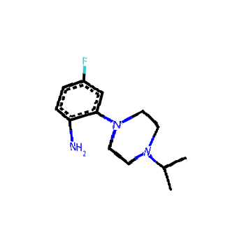 CC(C)N1CCN(c2cc(F)ccc2N)CC1